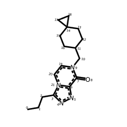 CCCc1nnc2c(=O)n(CC3CCC4(CC3)CC4)ccn12